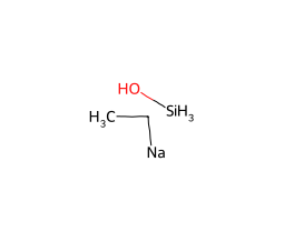 C[CH2][Na].O[SiH3]